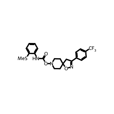 CSc1ccccc1NC(=O)ON1CCC2(CC1)CC(c1ccc(C(F)(F)F)cc1)=NO2